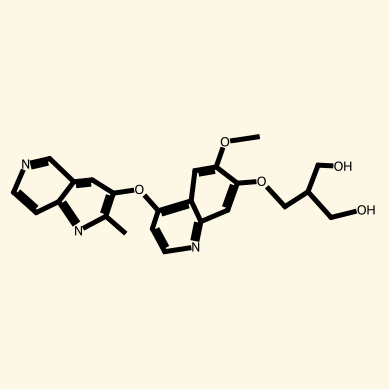 COc1cc2c(Oc3cc4cnccc4nc3C)ccnc2cc1OCC(CO)CO